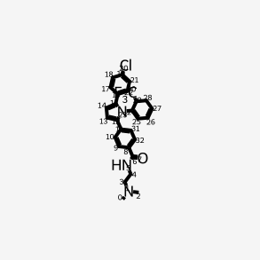 CN(C)CCNC(=O)c1ccc(-c2ccc(-c3ccc(Cl)cc3)n2C2=CC=CCC2C(F)(F)F)cc1